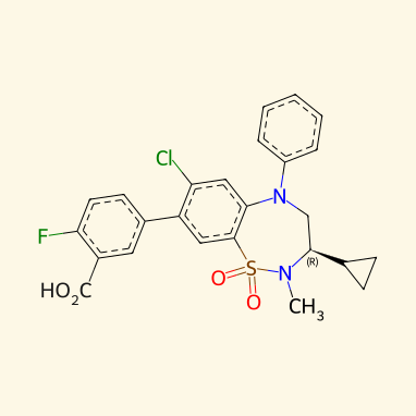 CN1[C@H](C2CC2)CN(c2ccccc2)c2cc(Cl)c(-c3ccc(F)c(C(=O)O)c3)cc2S1(=O)=O